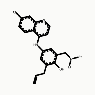 C=CCc1cc(Nc2ccnc3cc(Cl)ccc23)cc(CN(CC)CC)c1O